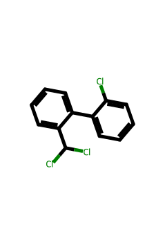 Clc1ccccc1-c1ccccc1C(Cl)Cl